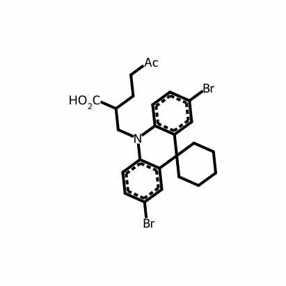 CC(=O)CCC(CN1c2ccc(Br)cc2C2(CCCCC2)c2cc(Br)ccc21)C(=O)O